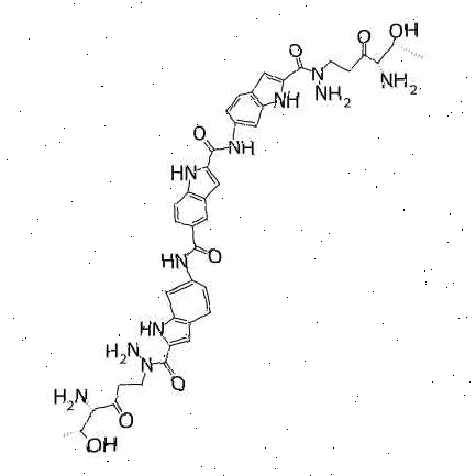 C[C@@H](O)[C@H](N)C(=O)CCN(N)C(=O)c1cc2ccc(NC(=O)c3ccc4[nH]c(C(=O)Nc5ccc6cc(C(=O)N(N)CCC(=O)[C@@H](N)[C@@H](C)O)[nH]c6c5)cc4c3)cc2[nH]1